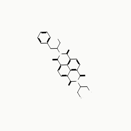 CC(C)CC(CO)N1C(=O)c2ccc3c4c(ccc(c24)C1=O)C(=O)N(C(CO)Cc1ccccc1)C3=O